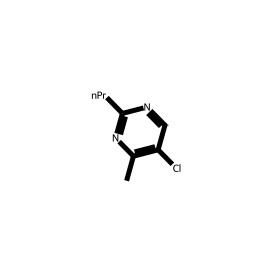 CCCc1n[c]c(Cl)c(C)n1